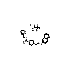 O=C(O)C(F)(F)F.O=C(OCc1nccs1)N1CCC(CCOc2ccc3ccccc3c2)CC1